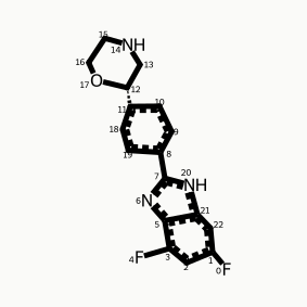 Fc1cc(F)c2nc(-c3ccc([C@H]4CNCCO4)cc3)[nH]c2c1